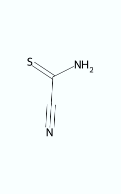 N#CC(N)=S